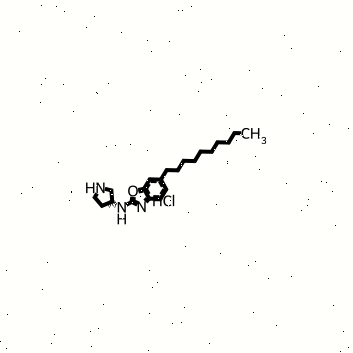 CCCCCCCCCCc1ccc2nc(N[C@@H]3CCNC3)oc2c1.Cl